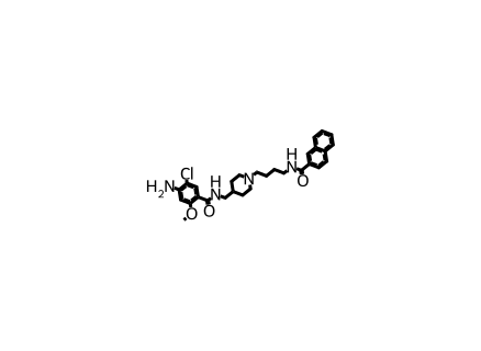 COc1cc(N)c(Cl)cc1C(=O)NCC1CCN(CCCCNC(=O)c2ccc3ccccc3c2)CC1